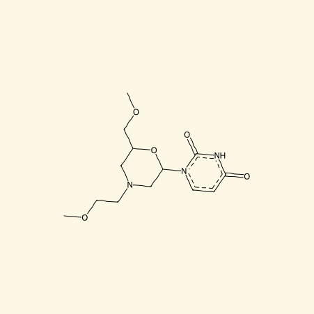 COCCN1CC(COC)OC(n2ccc(=O)[nH]c2=O)C1